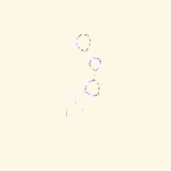 C[S+]([O-])N1CCC(Nc2ncc(C(F)(F)F)c(-c3cn(-c4cccnc4C#N)cn3)n2)C(F)C1